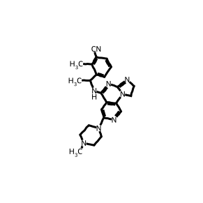 Cc1c(C#N)cccc1C(C)NC1=NC2=NCCN2c2cnc(N3CCN(C)CC3)cc21